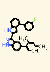 C=C/C=C(C)\C(=C/C)c1ccc2[nH]nc(-c3cc4c(-c5cccc(F)c5)cccc4[nH]3)c2c1